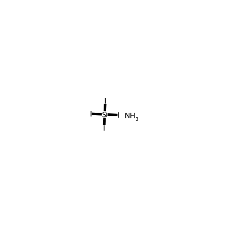 I[Si](I)(I)I.N